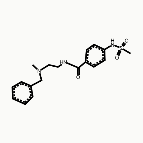 CN(CCNC(=O)c1ccc(NS(C)(=O)=O)cc1)Cc1ccccc1